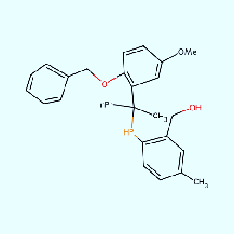 CCCC(C)(Pc1ccc(C)cc1CO)c1cc(OC)ccc1OCc1ccccc1